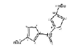 [CH2]=[Hf]([C]1=CC(CCCC)=CC1)[C]1=CC(CCCC)=CC1